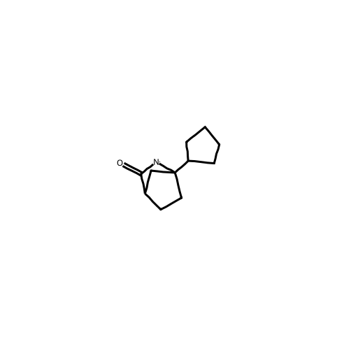 O=C1[N]C2(C3CCCC3)CCC1C2